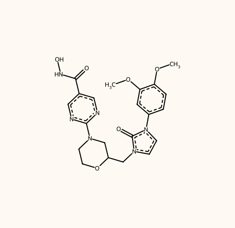 COc1ccc(-n2ccn(CC3CN(c4ncc(C(=O)NO)cn4)CCO3)c2=O)cc1OC